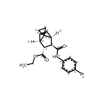 CCOC(=O)[C@H]1[C@H](C(=O)Nc2ccc(Br)cc2)[C@@H]2C=C[C@H]1C21CC1